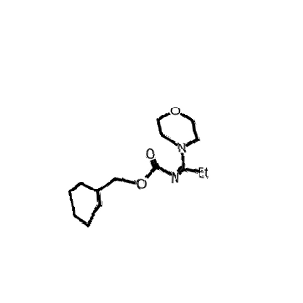 CC/C(=N/C(=O)OCC1CCCCC1)N1CCOCC1